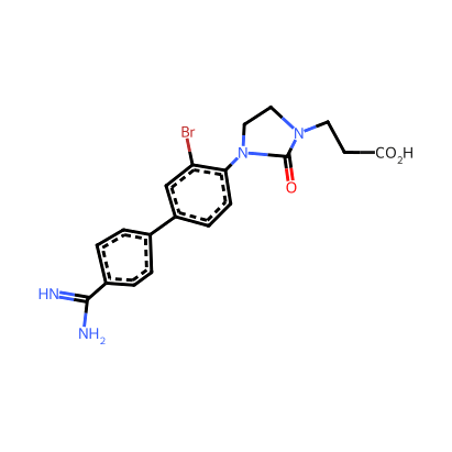 N=C(N)c1ccc(-c2ccc(N3CCN(CCC(=O)O)C3=O)c(Br)c2)cc1